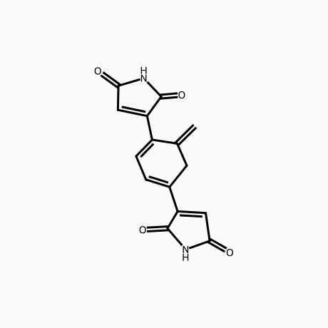 C=C1CC(C2=CC(=O)NC2=O)=CC=C1C1=CC(=O)NC1=O